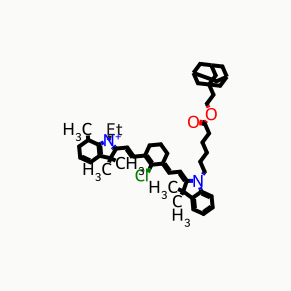 CC[N+]1=C(/C=C/C2=C(Cl)C(=C/C=C3/N(CCCCCC(=O)OCCC45CC6CC(CC(C6)C4)C5)c4ccccc4C3(C)C)/CCC2)C(C)(C)C2=C1C(C)CC=C2